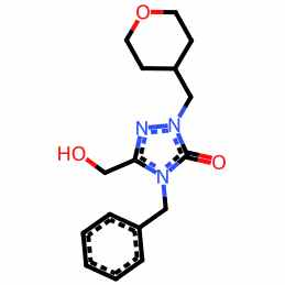 O=c1n(CC2CCOCC2)nc(CO)n1Cc1ccccc1